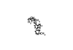 Cc1nccc(-c2ccc(OC[C@@](C)(N)CC(C)C)c3ncsc23)n1